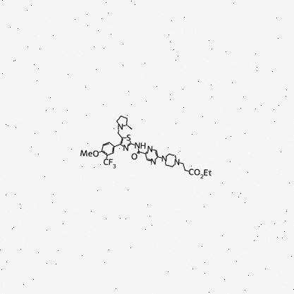 CCOC(=O)CCN1CCN(c2cnc(C(=O)Nc3nc(-c4ccc(OC)c(C(F)(F)F)c4)c(CN4CCC[C@H]4C)s3)cn2)C[C@@H]1C